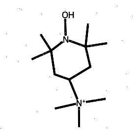 CC1(C)CC([N+](C)(C)C)CC(C)(C)N1O